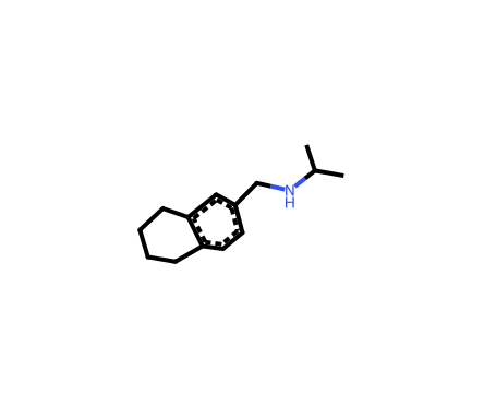 CC(C)NCc1ccc2c(c1)CCCC2